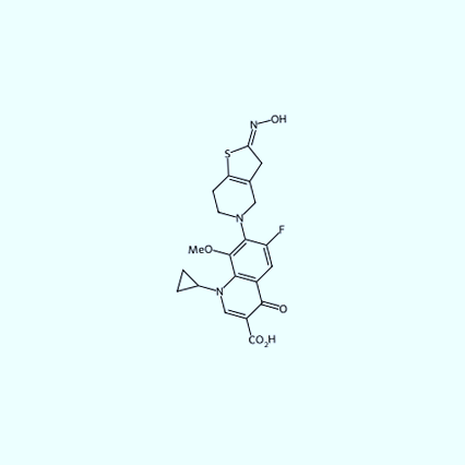 COc1c(N2CCC3=C(CC(=NO)S3)C2)c(F)cc2c(=O)c(C(=O)O)cn(C3CC3)c12